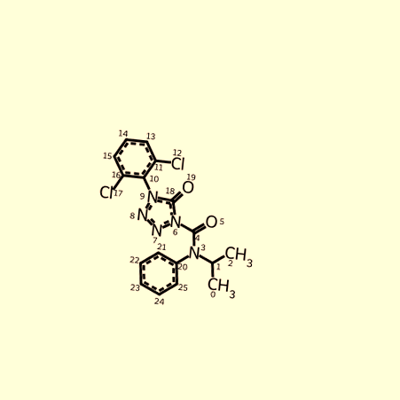 CC(C)N(C(=O)n1nnn(-c2c(Cl)cccc2Cl)c1=O)c1ccccc1